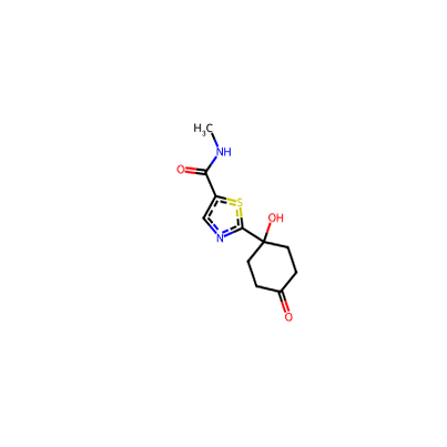 CNC(=O)c1cnc(C2(O)CCC(=O)CC2)s1